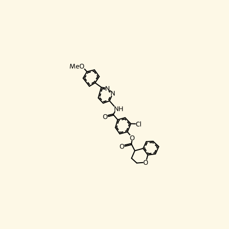 COc1ccc(-c2ccc(NC(=O)c3ccc(OC(=O)C4CCOc5ccccc54)c(Cl)c3)nn2)cc1